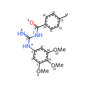 COc1cc(NC(=N)NC(=O)c2ccc(C)cc2)cc(OC)c1OC